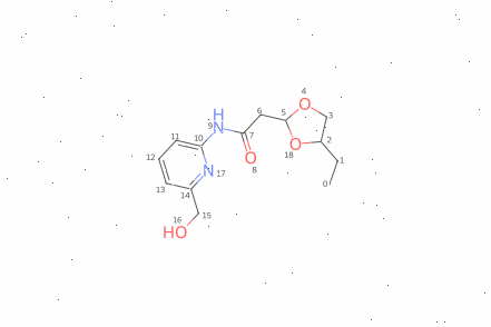 CCC1COC(CC(=O)Nc2cccc(CO)n2)O1